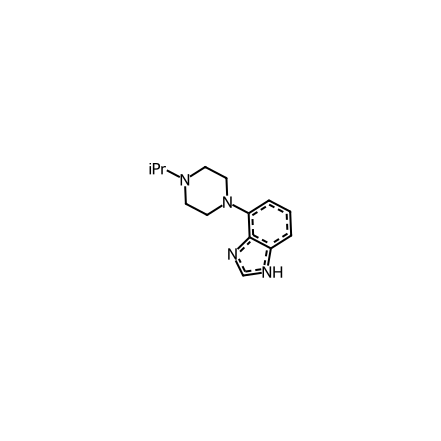 CC(C)N1CCN(c2cccc3[nH]cnc23)CC1